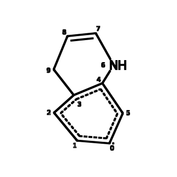 [c]1ccc2c(c1)NC=CC2